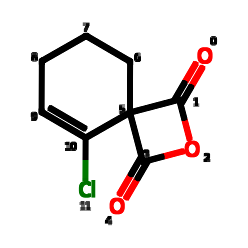 O=C1OC(=O)C12CCCC=C2Cl